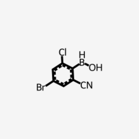 N#Cc1cc(Br)cc(Cl)c1BO